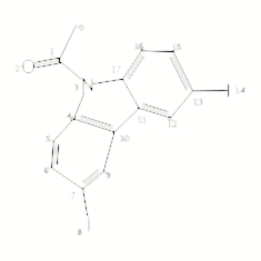 CC(=O)n1c2ccc(I)cc2c2cc(I)ccc21